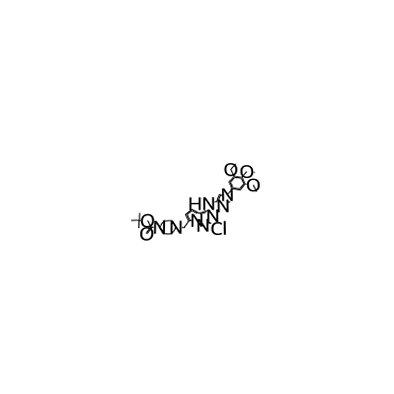 COc1cc(-n2cnc(Nc3nc(Cl)nn4c(CN5CCN(C(=O)OC(C)(C)C)CC5)ccc34)c2)cc(OC)c1OC